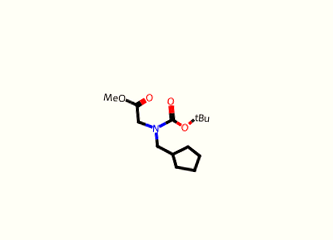 COC(=O)CN(CC1CCCC1)C(=O)OC(C)(C)C